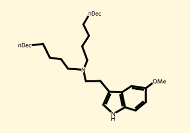 CCCCCCCCCCCCCCN(CCCCCCCCCCCCCC)CCc1c[nH]c2ccc(OC)cc12